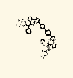 CCN(CC)[C@@H](C(=O)N1CCC[C@H]1c1ncc(-c2ccc(-c3ccc(-c4cnc([C@@H]5CCCN5C(=O)[C@@H](Cn5cccn5)NC(=O)OC)[nH]4)cc3)cc2)[nH]1)c1ccccc1